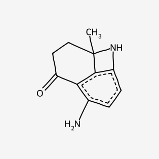 CC12CCC(=O)c3c(N)ccc(c31)N2